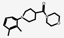 Cc1cccc(N2CCC(C(=O)N3CCOCC3)CC2)c1C